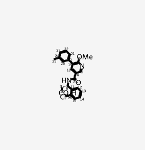 COc1ncc(C(=O)N[C@@H](CC(=O)O)c2ccccc2Cl)cc1-c1cccc(C)c1